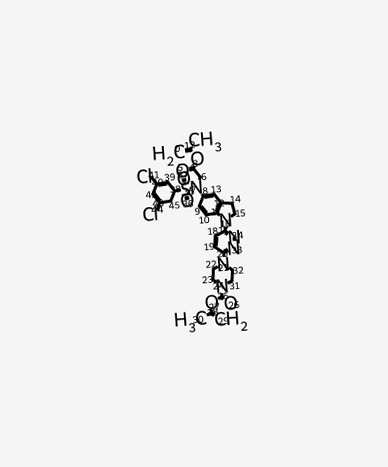 C=C(C)OC(=O)CN(c1ccc2c(c1)CCN2c1ccc(N2CCN(C(=O)OC(=C)C)CC2)nn1)S(=O)(=O)C1C=C(Cl)C=C(Cl)C1